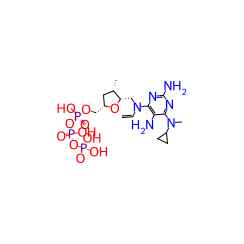 C=CN(C[C@@H]1O[C@H](COP(=O)(O)OP(=O)(O)OP(=O)(O)O)C[C@@H]1C)c1nc(N)nc(N(C)C2CC2)c1N